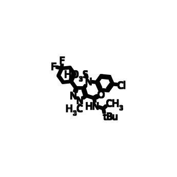 CC(NC(=O)c1c(N(c2ccc(Cl)cc2)S(=O)(=O)O)c(C2=CCC(F)(F)CC2)nn1C)C(C)(C)C